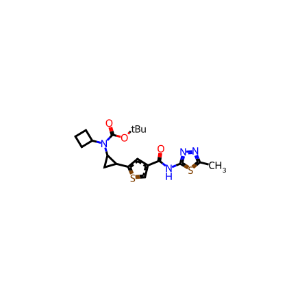 Cc1nnc(NC(=O)c2csc(C3CC3N(C(=O)OC(C)(C)C)C3CCC3)c2)s1